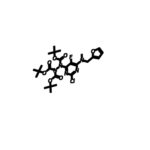 CN(Cc1ccco1)c1nc(Cl)nc(N(C(=O)OC(C)(C)C)N(C(=O)OC(C)(C)C)C(=O)OC(C)(C)C)c1F